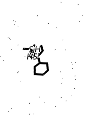 CC[SiH](O[SiH](C)C)C1CCCCC1